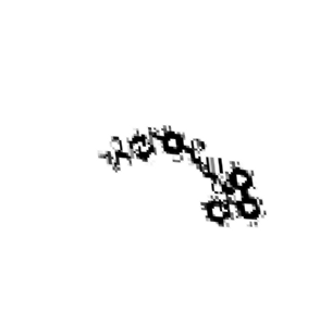 CN(C)C(=O)CN1CCN(Cc2ccc(C(=O)CNCCOC(=O)N(c3ccccc3-c3ccccc3)N3CC[CH]CC3)cc2)CC1